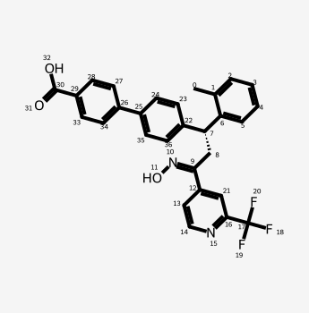 Cc1ccccc1[C@H](CC(=NO)c1ccnc(C(F)(F)F)c1)c1ccc(-c2ccc(C(=O)O)cc2)cc1